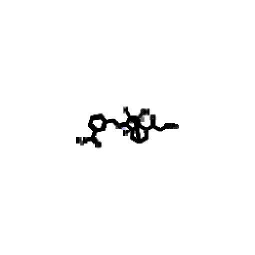 COCC(=O)N1CC2C[C@@H]3/C(=N\Cc4cccc(C(N)=O)c4)[C@H](C2)C1[C@H]3O